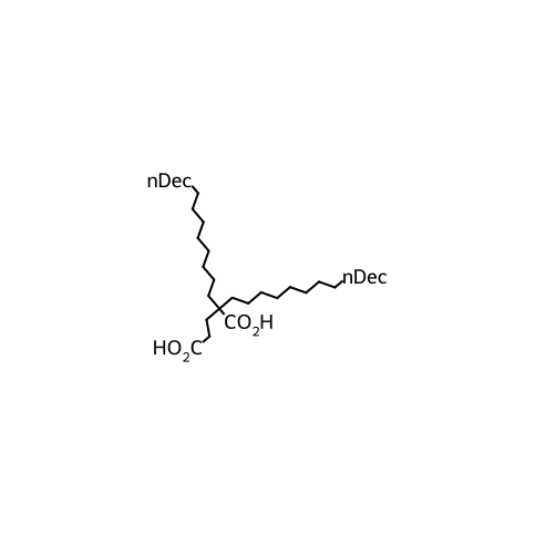 CCCCCCCCCCCCCCCCCCC(CCCCCCCCCCCCCCCCCC)(CCC(=O)O)C(=O)O